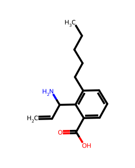 C=CC(N)c1c(CCCCC)cccc1C(=O)O